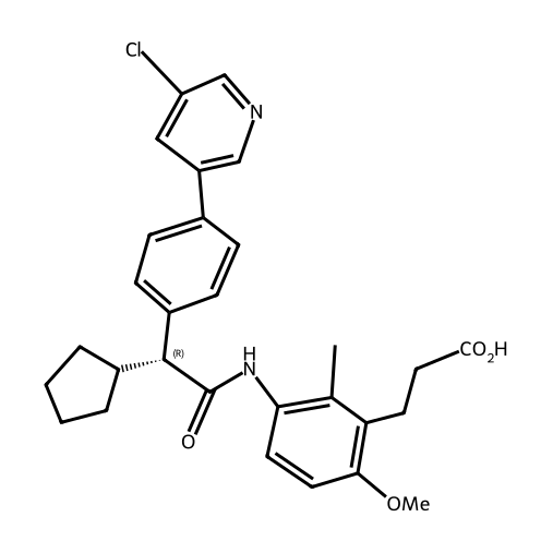 COc1ccc(NC(=O)[C@@H](c2ccc(-c3cncc(Cl)c3)cc2)C2CCCC2)c(C)c1CCC(=O)O